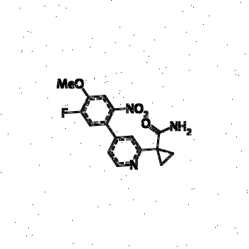 COc1cc([N+](=O)[O-])c(-c2ccnc(C3(C(N)=O)CC3)c2)cc1F